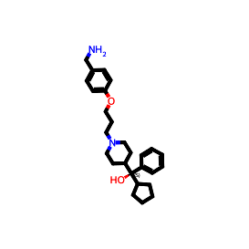 NCc1ccc(OCCCN2CCC([C@](O)(c3ccccc3)C3CCCC3)CC2)cc1